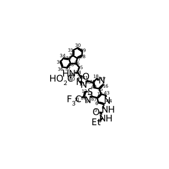 CCNC(=O)Nc1cc(-c2nc(C(F)(F)F)cs2)c(-c2cncc(-c3nnc(C(CC4c5ccccc5-c5ccccc54)NC(=O)O)o3)c2)cn1